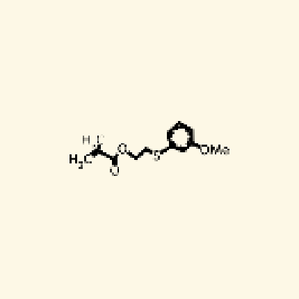 C=C(C)C(=O)OCCSc1cccc(OC)c1